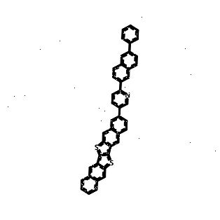 c1ccc(-c2ccc3cc(-c4ccc(-c5ccc6cc7c(cc6c5)sc5c6cc8ccccc8cc6sc75)cn4)ccc3c2)cc1